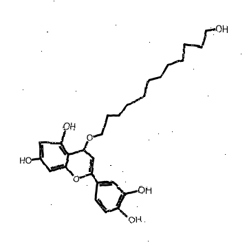 OCCCCCCCCCCCCOC1C=C(c2ccc(O)c(O)c2)Oc2cc(O)cc(O)c21